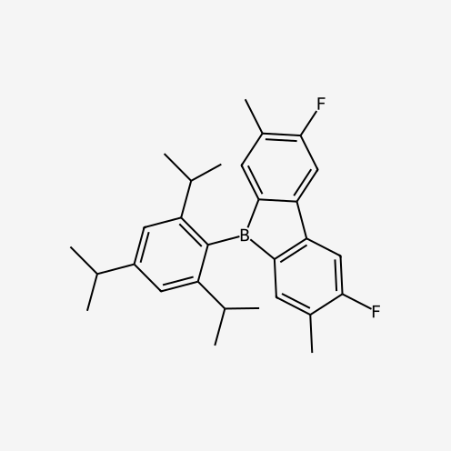 Cc1cc2c(cc1F)-c1cc(F)c(C)cc1B2c1c(C(C)C)cc(C(C)C)cc1C(C)C